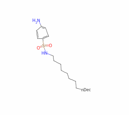 CCCCCCCCCCCCCCCCCCNS(=O)(=O)c1ccc(N)cc1